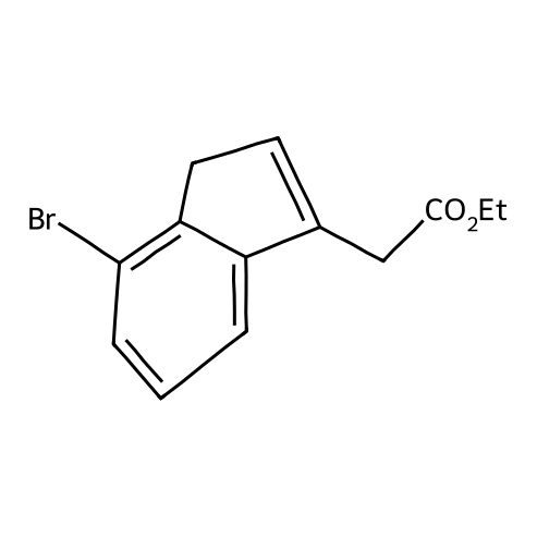 CCOC(=O)CC1=CCc2c(Br)cccc21